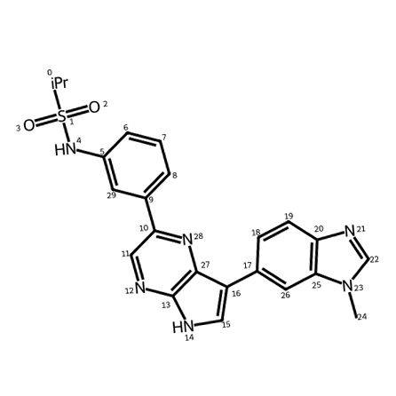 CC(C)S(=O)(=O)Nc1cccc(-c2cnc3[nH]cc(-c4ccc5ncn(C)c5c4)c3n2)c1